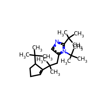 CC(C)(Cc1cnc(C(C)(C)C)n1C(C)(C)C)C1=CCCC1C(C)(C)C